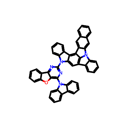 c1ccc2cc3c(cc2c1)c1c2c4ccccc4n(-c4nc(-n5c6ccccc6c6ccccc65)c5oc6ccccc6c5n4)c2cc2c4ccccc4n3c21